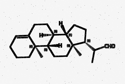 CC(C=O)[C@H]1CC[C@H]2[C@@H]3CCC4=CCCC[C@]4(C)[C@H]3CC[C@]12C